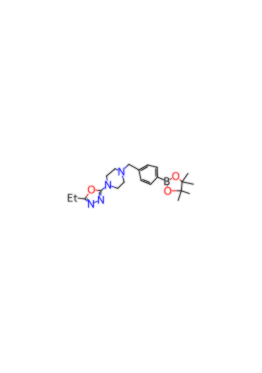 CCc1nnc(N2CCN(Cc3ccc(B4OC(C)(C)C(C)(C)O4)cc3)CC2)o1